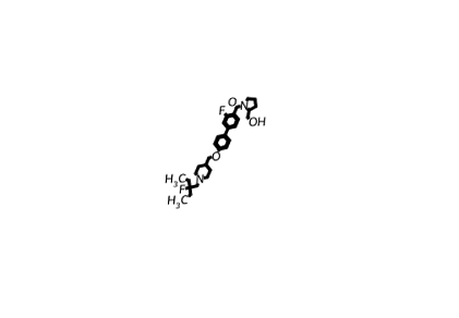 CCC(F)(CC)CN1CCC(COc2ccc(-c3ccc(C(=O)N4CCCC4CO)c(F)c3)cc2)CC1